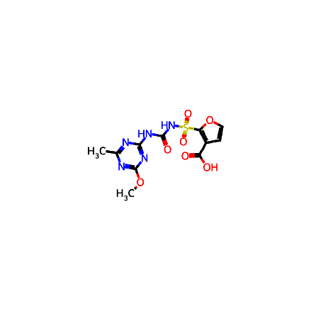 COc1nc(C)nc(NC(=O)NS(=O)(=O)c2occc2C(=O)O)n1